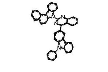 c1ccc(-n2c3ccccc3c3cc(-c4nc(-n5c6ccccc6c6c7ccccc7ccc65)nc5ccccc45)ccc32)cc1